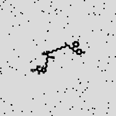 CN(CCCCCCCNC(=N)N(C#N)CCSCc1csc(NC(=N)N)n1)CCN(Cc1ccc(F)cc1)c1ccccn1